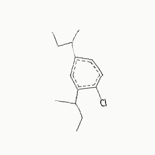 CCC(C)c1ccc(Cl)c(C(C)CC)c1